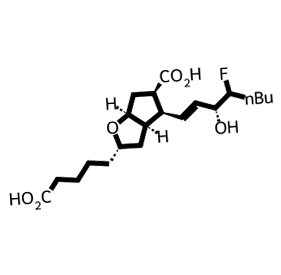 CCCCC(F)[C@H](O)/C=C/[C@H]1[C@H]2C[C@H](CCCCC(=O)O)O[C@H]2C[C@H]1C(=O)O